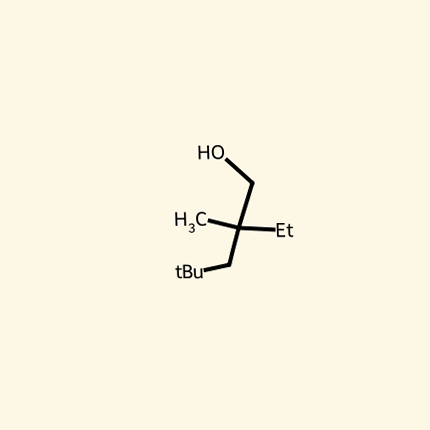 CCC(C)(CO)CC(C)(C)C